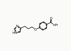 CCCC(=O)c1ccc(OCCCc2c[nH]cn2)cc1